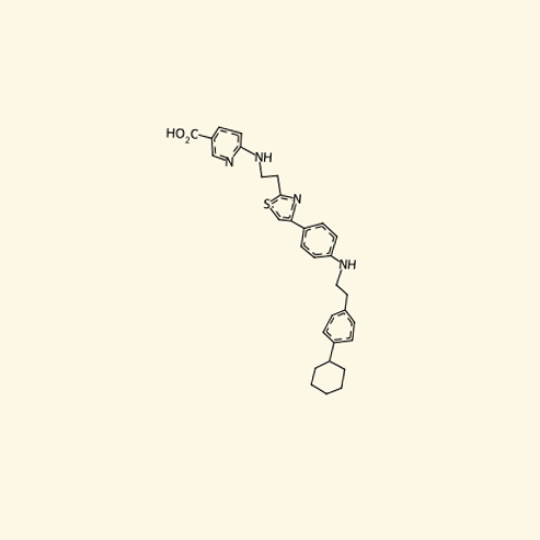 O=C(O)c1ccc(NCCc2nc(-c3ccc(NCCc4ccc(C5CCCCC5)cc4)cc3)cs2)nc1